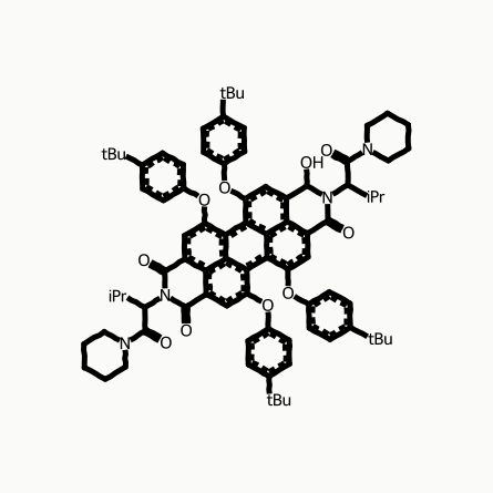 CC(C)C(C(=O)N1CCCCC1)N1C(=O)c2cc(Oc3ccc(C(C)(C)C)cc3)c3c4c(Oc5ccc(C(C)(C)C)cc5)cc5c6c(cc(Oc7ccc(C(C)(C)C)cc7)c(c7c(Oc8ccc(C(C)(C)C)cc8)cc(c2c37)C1=O)c64)C(O)N(C(C(=O)N1CCCCC1)C(C)C)C5=O